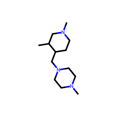 CC1CN(C)CCC1CN1CCN(C)CC1